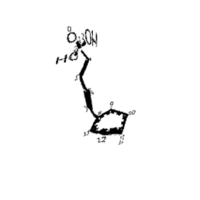 O=P(O)(O)C=CC=Cc1ccccc1